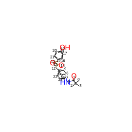 CC(C)(C)C(=O)NC12CCC(CS(=O)(=O)c3ccc(O)cc3)(CC1)CC2